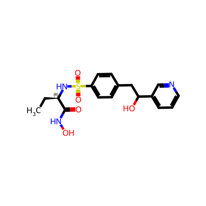 CC[C@@H](NS(=O)(=O)c1ccc(CC(O)c2cccnc2)cc1)C(=O)NO